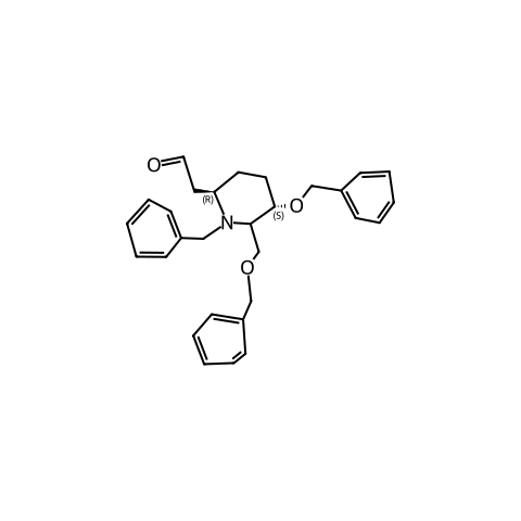 O=CC[C@H]1CC[C@H](OCc2ccccc2)C(COCc2ccccc2)N1Cc1ccccc1